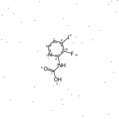 O=C(O)Nc1nccc(I)c1F